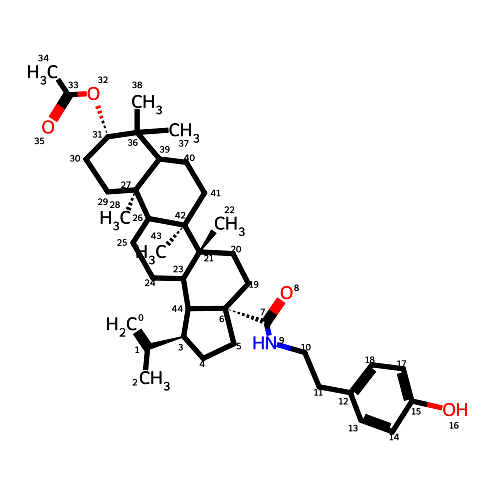 C=C(C)[C@@H]1CC[C@]2(C(=O)NCCc3ccc(O)cc3)CC[C@]3(C)C(CCC4[C@@]5(C)CC[C@H](OC(C)=O)C(C)(C)C5CC[C@]43C)C12